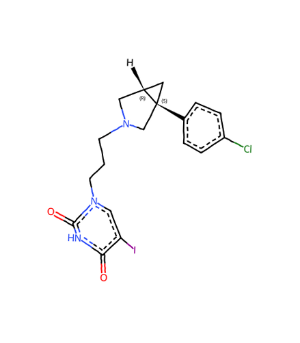 O=c1[nH]c(=O)n(CCCN2C[C@@H]3C[C@]3(c3ccc(Cl)cc3)C2)cc1I